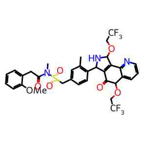 COc1ccccc1CC(=O)N(C)S(=O)(=O)Cc1ccc(C2NC(OCC(F)(F)F)C3=C2C(=O)C(OCC(F)(F)F)c2cccnc23)c(C)c1